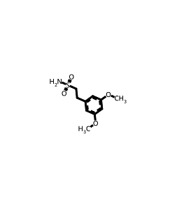 COc1cc(CCS(N)(=O)=O)cc(OC)c1